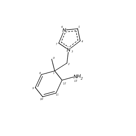 CC1(Cn2ccnc2)C=CC=CC1N